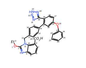 CCOc1nc2cccc(C(=O)O)c2n1Cc1ccc(-c2cc(Oc3ccccc3)ccc2-c2nn[nH]n2)cc1